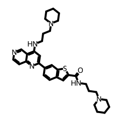 O=C(NCCCN1CCCCC1)c1cc2ccc(-c3cc(NCCCN4CCCCC4)c4cnccc4n3)cc2s1